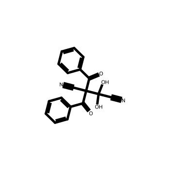 N#CC(O)(O)C(C#N)(C(=O)c1ccccc1)C(=O)c1ccccc1